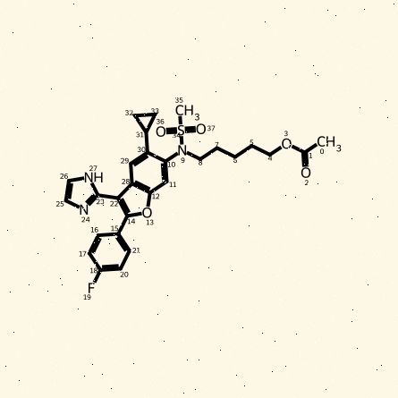 CC(=O)OCCCCCN(c1cc2oc(-c3ccc(F)cc3)c(-c3ncc[nH]3)c2cc1C1CC1)S(C)(=O)=O